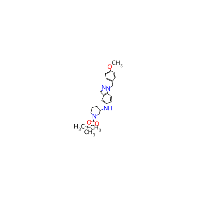 COc1ccc(Cn2ncc3cc(NC4CCCN(C(=O)OC(C)(C)C)C4)ccc32)cc1